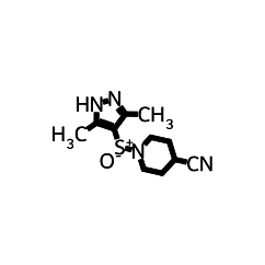 Cc1n[nH]c(C)c1[S+]([O-])N1CCC(C#N)CC1